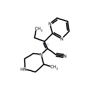 CC/C(=C(/C#N)N1CCNCC1C)c1ncccn1